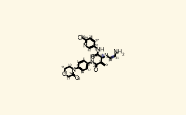 C=C(C(=O)Nc1ccc(N2CCOCC2=O)cc1)/C(=N\C=C/N)C(=O)Nc1ccc(Cl)nc1